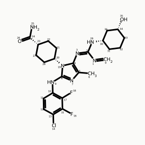 C=N/C(=N\c1c(C)nc(Nc2ccc(Cl)c(F)c2F)n1[C@H]1CC[C@@H](C(N)=O)CC1)N[C@H]1CCC[C@@H](O)C1